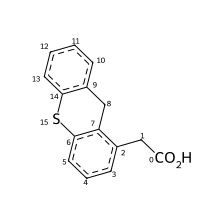 O=C(O)Cc1cccc2c1Cc1ccccc1S2